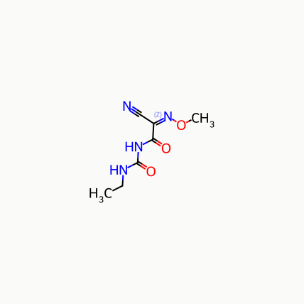 CCNC(=O)NC(=O)/C(C#N)=N\OC